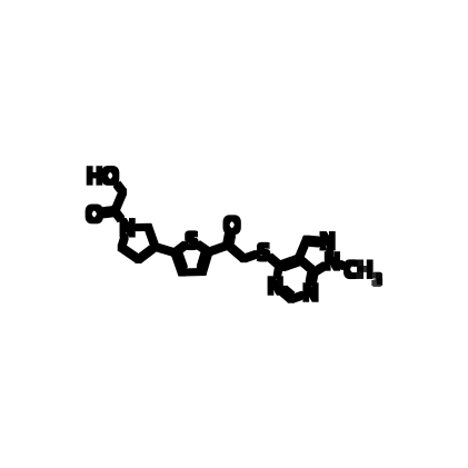 Cn1ncc2c(SCC(=O)c3ccc(C4CCN(C(=O)CO)C4)s3)ncnc21